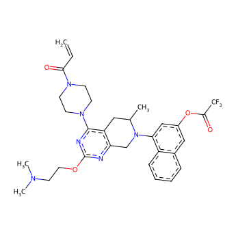 C=CC(=O)N1CCN(c2nc(OCCN(C)C)nc3c2CC(C)N(c2cc(OC(=O)C(F)(F)F)cc4ccccc24)C3)CC1